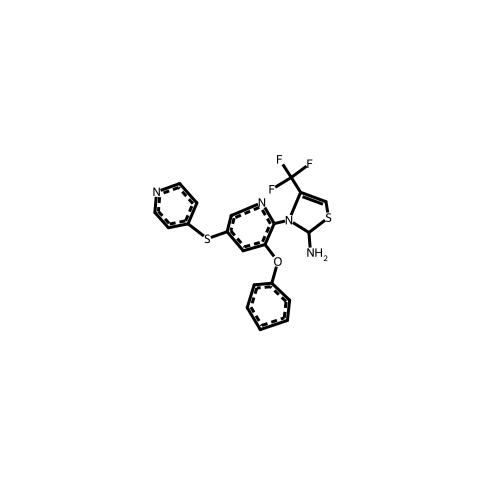 NC1SC=C(C(F)(F)F)N1c1ncc(Sc2ccncc2)cc1Oc1ccccc1